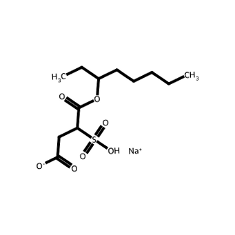 CCCCCC(CC)OC(=O)C(CC(=O)[O-])S(=O)(=O)O.[Na+]